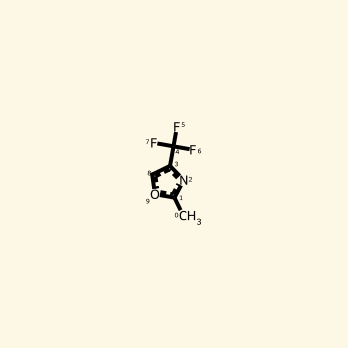 Cc1nc(C(F)(F)F)[c]o1